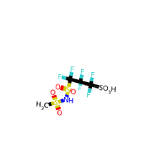 CS(=O)(=O)NS(=O)(=O)C(F)(F)C(F)(F)C(F)(F)S(=O)(=O)O